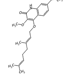 CNc1ccc2c(OC/C=C(\C)CCC=C(C)C)c(OC)c(=O)[nH]c2c1